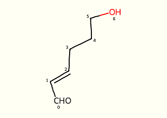 O=CC=CCCCO